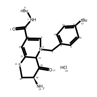 CCCCNC(=O)C1=CN(Cc2ccc(C(C)(C)C)cc2)C2C(=O)[C@@H](N)CSC2=C1.Cl